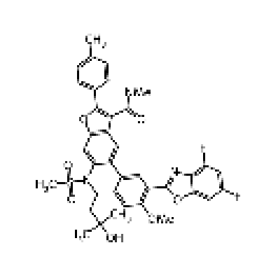 CNC(=O)c1c(-c2ccc(C)cc2)oc2cc(N(CCC(C)(C)O)S(C)(=O)=O)c(-c3ccc(OC)c(-c4nc5c(F)cc(F)cc5o4)c3)cc12